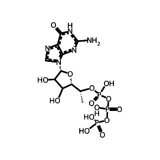 C[C@@H](OP(=O)(O)OP(=O)(O)OP(=O)(O)O)[C@H]1O[C@@H](n2cnc3c(=O)[nH]c(N)nc32)C(O)C1O